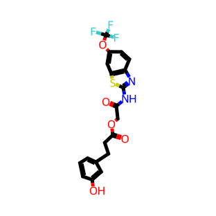 O=C(COC(=O)CCc1cccc(O)c1)Nc1nc2ccc(OC(F)(F)F)cc2s1